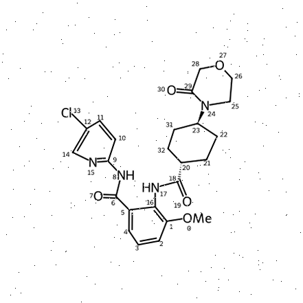 COc1cccc(C(=O)Nc2ccc(Cl)cn2)c1NC(=O)[C@H]1CC[C@H](N2CCOCC2=O)CC1